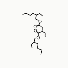 CCCCC(CC)COC(=O)CC(CC)C(=O)OCC(CC)CCCC